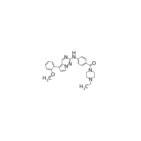 CCN1CCN(C(=O)c2ccc(Nc3ncc4c(-c5ccccc5OC)ccn4n3)cc2)CC1